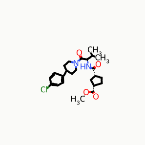 COC(=O)[C@H]1CC[C@@H](C(=O)N[C@@H](C(=O)N2CCC(c3ccc(Cl)cc3)CC2)C(C)C)C1